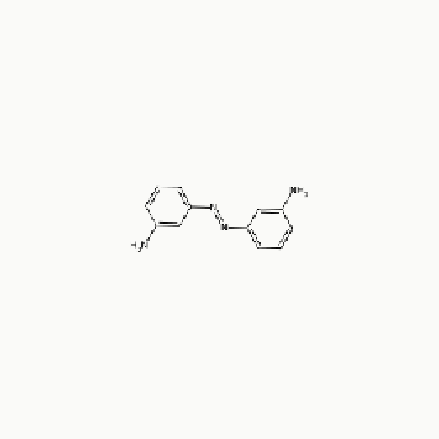 Nc1cccc(N=Nc2cccc(N)c2)c1